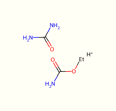 CCOC(N)=O.NC(N)=O.[H+]